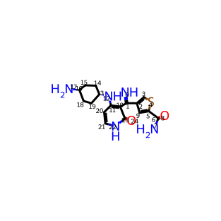 N=C(c1csc(C(N)=O)c1)c1c(N[C@H]2CC[C@H](N)CC2)cc[nH]c1=O